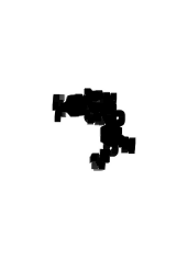 C[C@H]1Cn2ncc(NC(=O)c3ccc(OCCN(C)C)c(C#N)c3)c2C(=O)N1c1ccc(C(F)F)cc1